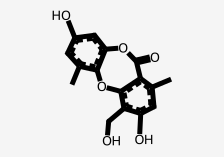 Cc1cc(O)cc2c1Oc1c(CO)c(O)cc(C)c1C(=O)O2